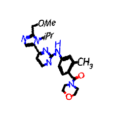 COCc1ncc(-c2ccnc(Nc3ccc(C(=O)N4CCOCC4)c(C)c3)n2)n1C(C)C